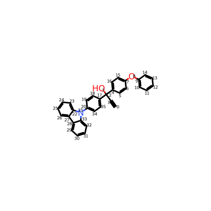 C#CC(O)(c1ccc(Oc2ccccc2)cc1)c1ccc(-n2c3ccccc3c3ccccc32)cc1